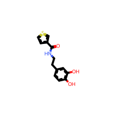 O=C(NCCc1ccc(O)c(O)c1)c1ccsc1